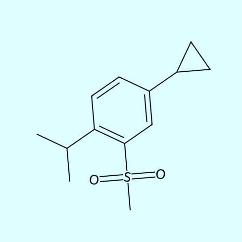 CC(C)c1ccc(C2CC2)cc1S(C)(=O)=O